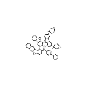 CC1(c2ccc3c(c2)c2cc(C4(C)CC=C5CC5C4)cc4c2n3-c2c3c(cc5c2oc2ccccc25)-c2c(ccc5oc6cc7ccccc7cc6c25)N(c2ccc(-c5ccccc5)cc2)B34)CC=C2CC2C1